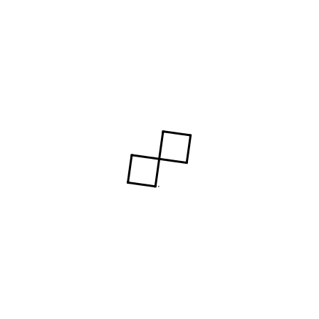 [CH]1CCC12CCC2